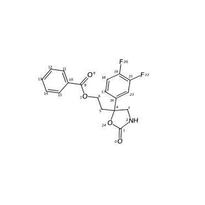 O=C1NCC(CCOC(=O)c2ccccc2)(c2ccc(F)c(F)c2)O1